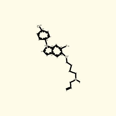 C=CCN(C)CCCCOc1cc2ccn(-c3ccc(Cl)cc3)c2cc1F